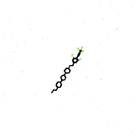 CCCC1CCC(C2CCC(C3CCC(CCc4cc(F)c(C#CC(F)(F)F)c(F)c4)CC3)CC2)CC1